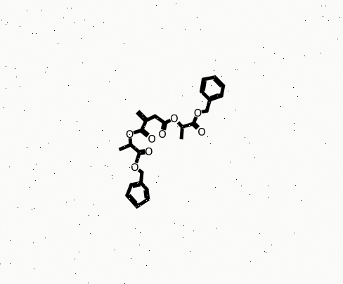 C=C(CC(=O)OC(C)C(=O)OCc1ccccc1)C(=O)OC(C)C(=O)OCc1ccccc1